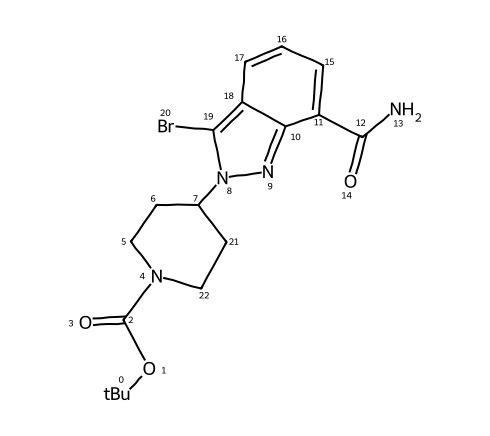 CC(C)(C)OC(=O)N1CCC(n2nc3c(C(N)=O)cccc3c2Br)CC1